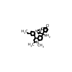 C=Cc1cccc(C2=CC(=C)N(C)c3ccc(C(N)(c4ccc(Cl)cc4)c4cncn4C)cc32)c1